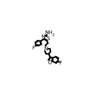 Nc1nc(-c2ccc(F)cc2)c(CCN2CCC(c3coc4cc(F)ccc34)CC2)s1